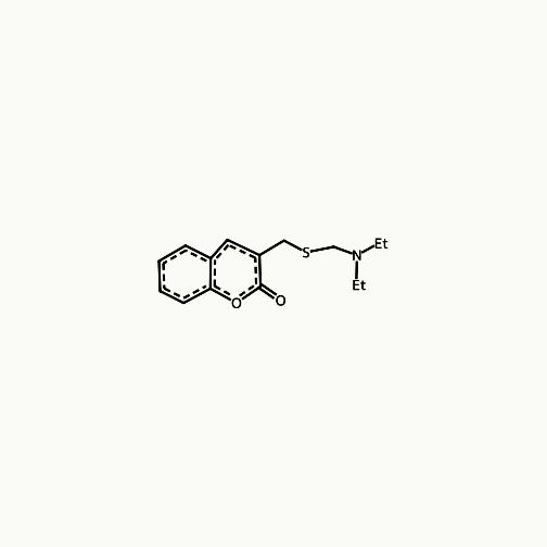 CCN(CC)CSCc1cc2ccccc2oc1=O